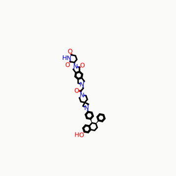 O=C1CCC(N2Cc3cc4c(cc3C2=O)CN(CC(=O)N2CCC3(CC2)CN(c2ccc([C@@H]5c6ccc(O)cc6CC[C@@H]5c5ccccc5)cc2)C3)C4)C(=O)N1